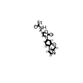 CCC(=O)NC[C@H]1CN(c2ccc3c(c2)OCc2nccn2-3)C(=O)O1